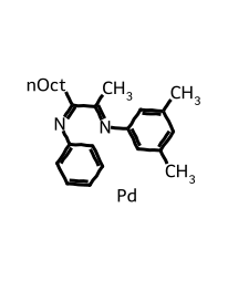 CCCCCCCCC(=Nc1ccccc1)C(C)=Nc1cc(C)cc(C)c1.[Pd]